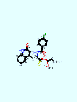 CCOC(CC=O)OC(=S)[C@H](Cc1cc(=O)[nH]c2ccccc12)NC(=O)c1ccc(Cl)cc1